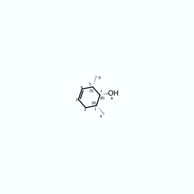 C[C@@H]1CC=C[C@H](C)[C@@H]1O